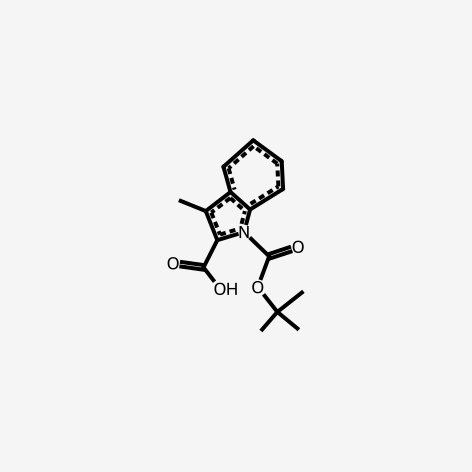 Cc1c(C(=O)O)n(C(=O)OC(C)(C)C)c2ccccc12